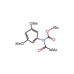 CNC(=O)N(C(=O)OC(C)(C)C)c1cc(OC)cc(OC)c1